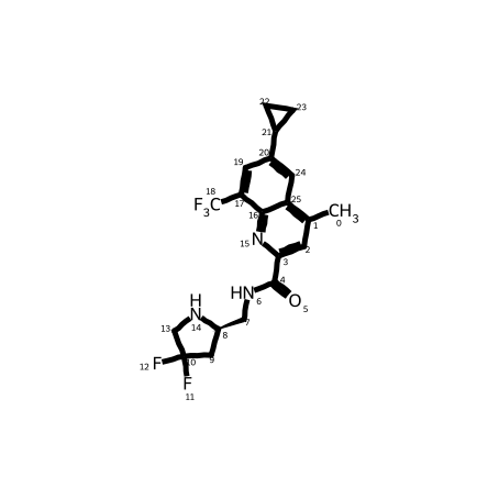 Cc1cc(C(=O)NC[C@H]2CC(F)(F)CN2)nc2c(C(F)(F)F)cc(C3CC3)cc12